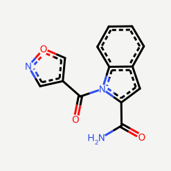 NC(=O)c1cc2ccccc2n1C(=O)c1cnoc1